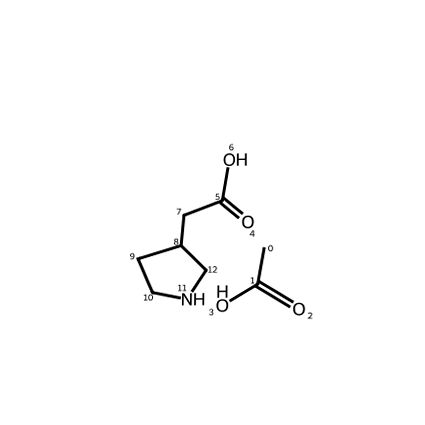 CC(=O)O.O=C(O)CC1CCNC1